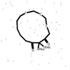 CCCCCCCCCCC1(CCCCCC)C(=O)CCCCCCCCCCCC1=O